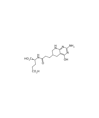 Nc1nc(O)c2c(n1)NCC(CCC(=O)N[C@@H](CCC(=O)O)C(=O)O)C2